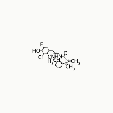 C[C@H]1C(C(=O)NC[C@H](Cc2cc(F)c(O)c(Cl)c2)N(C)C)[C@@]1(C)c1ccccc1